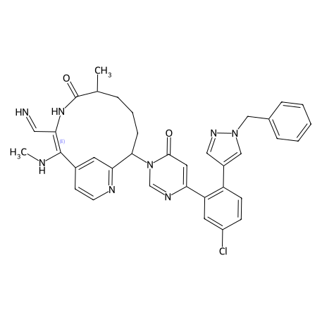 CN/C1=C(\C=N)NC(=O)C(C)CCCC(n2cnc(-c3cc(Cl)ccc3-c3cnn(Cc4ccccc4)c3)cc2=O)c2cc1ccn2